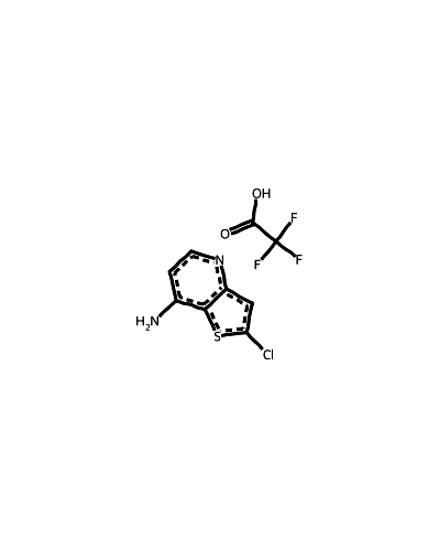 Nc1ccnc2cc(Cl)sc12.O=C(O)C(F)(F)F